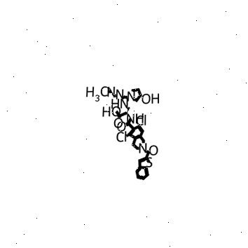 CN=C/N=C(\NC[C@H](NC(=O)c1c(Cl)cc2c(c1Cl)CCN(C(=O)c1cc3ccccc3s1)C2)C(=O)O)N1CC[C@H](O)C1